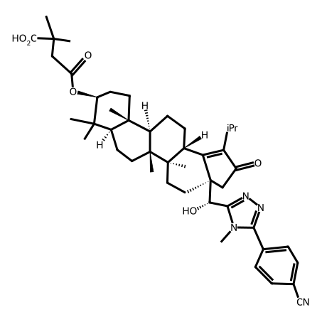 CC(C)C1=C2[C@H]3CC[C@@H]4[C@@]5(C)CC[C@H](OC(=O)CC(C)(C)C(=O)O)C(C)(C)[C@@H]5CC[C@@]4(C)[C@]3(C)CC[C@@]2([C@@H](O)c2nnc(-c3ccc(C#N)cc3)n2C)CC1=O